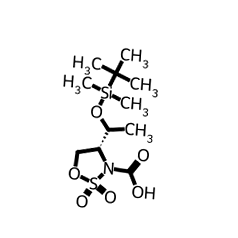 CC(O[Si](C)(C)C(C)(C)C)[C@H]1COS(=O)(=O)N1C(=O)O